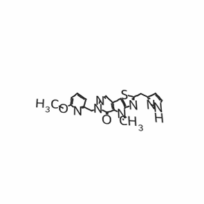 COc1cccc(Cn2ncc3c4sc(Cc5cc[nH]n5)nc4n(C)c3c2=O)n1